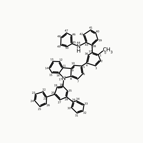 Cc1ccc(-c2ccc3c(c2)c2ccccc2n3-c2cc(-c3ccccc3)cc(-c3ccccc3)c2)cc1-c1ccccc1Nc1ccccc1